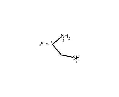 C[C@H](N)CS